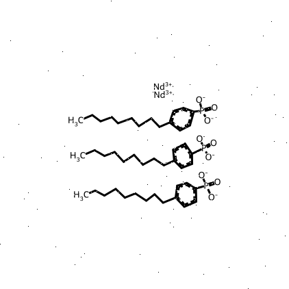 CCCCCCCCCc1ccc(P(=O)([O-])[O-])cc1.CCCCCCCCCc1ccc(P(=O)([O-])[O-])cc1.CCCCCCCCCc1ccc(P(=O)([O-])[O-])cc1.[Nd+3].[Nd+3]